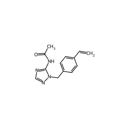 C=Cc1ccc(Cn2ncnc2NC(C)=O)cc1